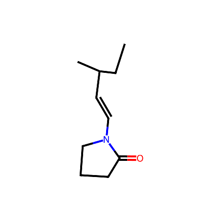 CCC(C)C=CN1CCCC1=O